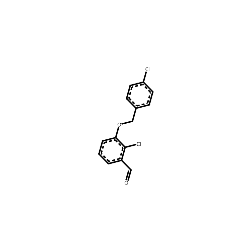 O=Cc1cccc(OCc2ccc(Cl)cc2)c1Cl